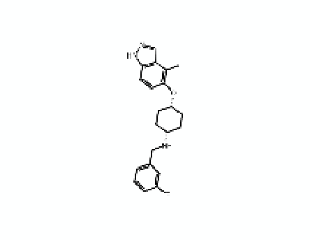 Cc1c(O[C@H]2CC[C@@H](NCc3cccc(F)c3)CC2)ccc2[nH]ncc12